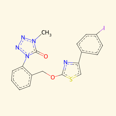 Cn1nnn(-c2ccccc2COc2nc(-c3ccc(I)cc3)cs2)c1=O